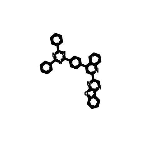 c1ccc(-c2nc(-c3ccccc3)nc(-c3ccc(-c4cc(-c5cnc6c(n5)oc5ccccc56)nc5ccccc45)cc3)n2)cc1